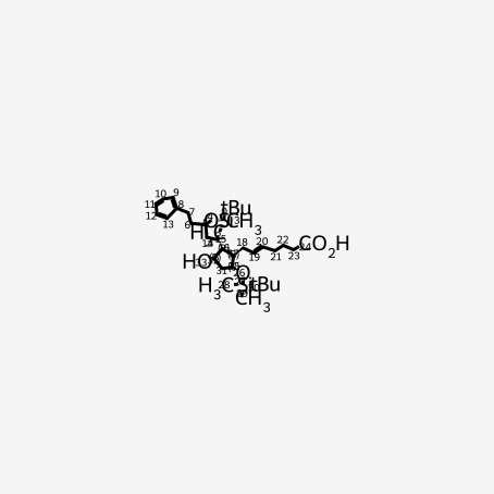 CC(C)(C)[Si](C)(C)OC(CCc1ccccc1)CC[C@@H]1[C@@H](CC=CCCCC(=O)O)[C@@H](O[Si](C)(C)C(C)(C)C)C[C@H]1O